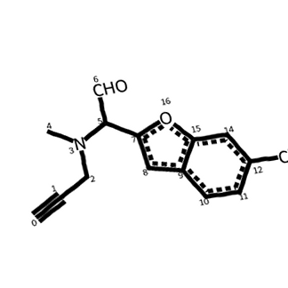 C#CCN(C)C(C=O)c1cc2ccc(Cl)cc2o1